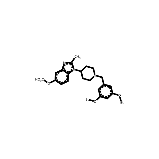 CCOc1cc(CN2CCC(n3c(C)nc4cc(OC(=O)O)ccc43)CC2)cc(OCC)c1